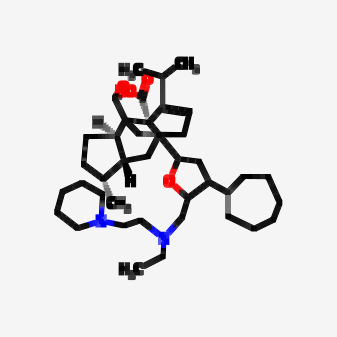 CCN(CCN1CCCCC1)CC1OC(C23C[C@@H]4[C@H](C)CC[C@H]4C4(C=O)CC2C=C(C(C)C)[C@@]34C(=O)O)CC1C1CCCCCC1